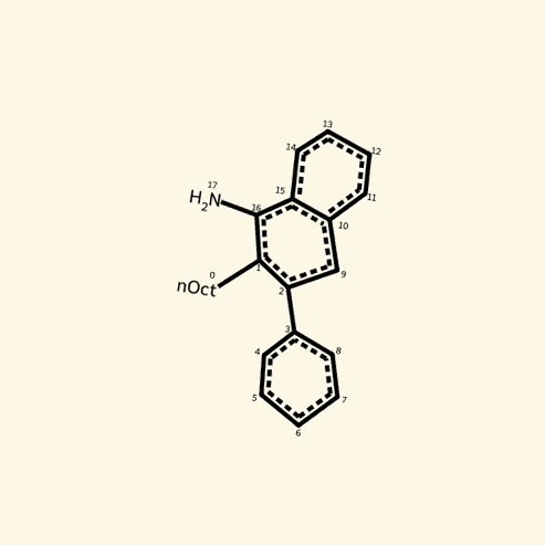 CCCCCCCCc1c(-c2ccccc2)cc2ccccc2c1N